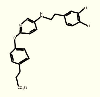 CCOC(=O)CCc1ccc(Oc2ccc(NCCc3ccc(Cl)c(Cl)c3)cn2)cc1